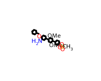 COc1cc(-c2ccc(OCc3ccccc3)c(N)c2)c(OC)cc1-c1ccc(OS(C)(=O)=O)cc1